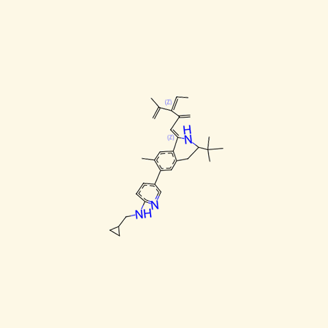 C=C(C)/C(=C/C)C(=C)/C=C1\NC(C(C)(C)C)Cc2cc(-c3ccc(NCC4CC4)nc3)c(C)cc21